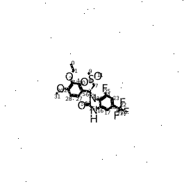 CCOc1cc([C@@H](CS(C)(=O)=O)n2c(=O)[nH]c3cc(C(F)(F)F)cc(F)c32)ccc1OC